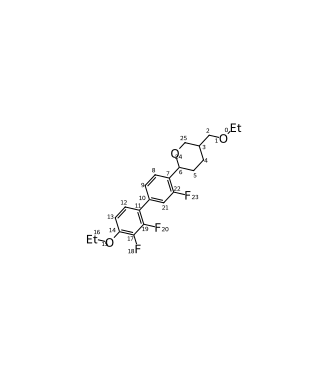 CCOCC1CCC(c2ccc(-c3ccc(OCC)c(F)c3F)cc2F)OC1